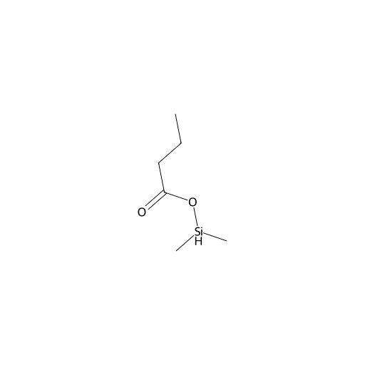 CCCC(=O)O[SiH](C)C